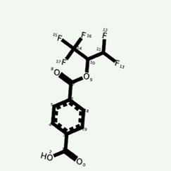 O=C(O)c1ccc(C(=O)OC(C(F)F)C(F)(F)F)cc1